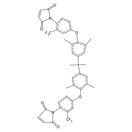 Cc1cc(C(C)(C)c2cc(C)c(Oc3ccc(N4C(=O)C=CC4=O)c(C(F)(F)F)c3)c(C)c2)cc(C)c1Oc1ccc(N2C(=O)C=CC2=O)c(C(F)(F)F)c1